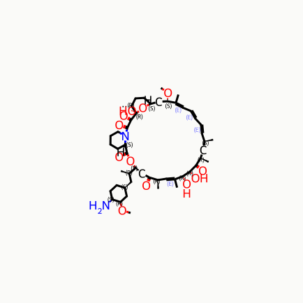 CO[C@H]1C[C@@H]2CC[C@@H](C)[C@@](O)(O2)C(=O)C(=O)N2CCCC[C@H]2C(=O)O[C@H]([C@H](C)C[C@@H]2CC[C@H](N)[C@H](OC)C2)CC(=O)[C@H](C)/C=C(\C)[C@@H](O)[C@@H](O)C(=O)[C@H](C)C[C@H](C)/C=C/C=C/C=C/1C